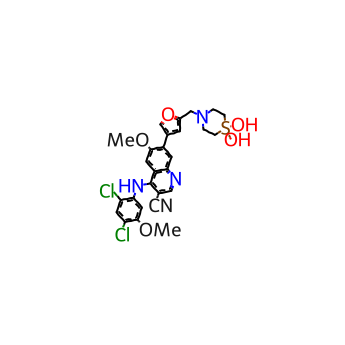 COc1cc(Nc2c(C#N)cnc3cc(-c4coc(CN5CCS(O)(O)CC5)c4)c(OC)cc23)c(Cl)cc1Cl